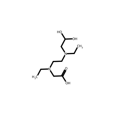 CCN(CCN(CC)CC(O)O)CC(=O)O